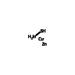 [Cu].[SH][InH2].[Zn]